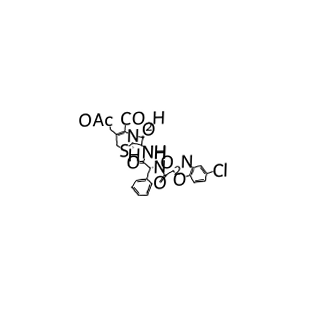 CC(=O)OCC1=C(C(=O)O)N2C(=O)[C@@H](NC(=O)[C@H](NC(=O)COc3ccc(Cl)cc3[N+](=O)[O-])c3ccccc3)[C@H]2SC1